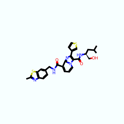 Cc1nc2ccc(CNC(=O)c3cccn4c(C(=O)N[C@H](CO)CC(C)C)c(-c5ccsc5)nc34)cc2s1